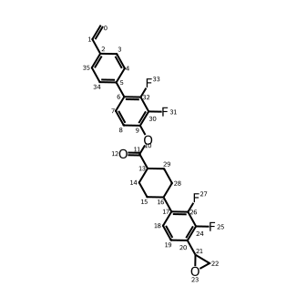 C=Cc1ccc(-c2ccc(OC(=O)C3CCC(c4ccc(C5CO5)c(F)c4F)CC3)c(F)c2F)cc1